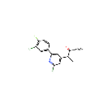 COC(=O)C(C)c1cc(Cl)nc(-c2ccc(F)c(Cl)c2)c1